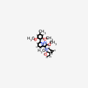 COc1cc(C)cc(OC)c1-c1cccc2c([N+](C)(CC3CC3)C3CCCO3)c(OC)nn12